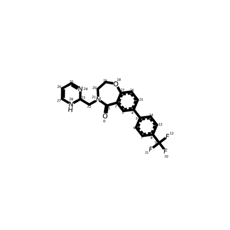 O=C1c2cc(-c3ccc(C(F)(F)F)cc3)ccc2OCCN1CC1N=CC=CN1